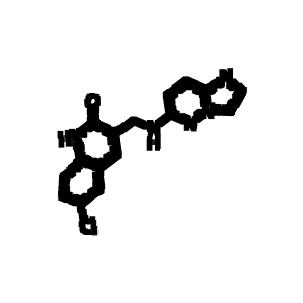 O=c1[nH]c2ccc(Cl)cc2cc1CNc1ccc2nccn2n1